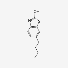 CCCCc1ccc2nc(O)sc2c1